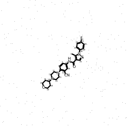 Cc1c(C(=O)Nc2ccc(N3CCN(C4CCOCC4)CC3)c(C#N)c2)cnn1-c1ccc(F)cc1